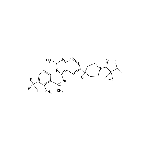 Cc1nc(N[C@H](C)c2cccc(C(F)(F)F)c2C)c2cc(P3(=O)CCN(C(=O)C4(C(F)F)CC4)CC3)ncc2n1